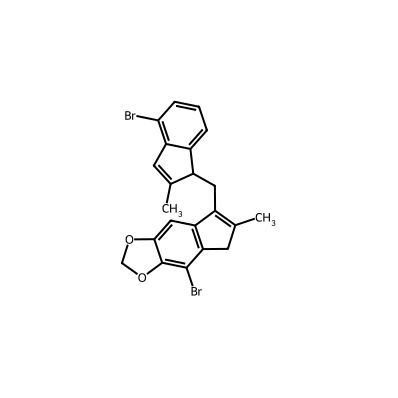 CC1=Cc2c(Br)cccc2C1CC1=C(C)Cc2c1cc1c(c2Br)OCO1